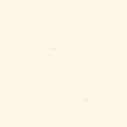 CCCCOCCC(=O)NCCC